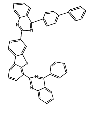 c1ccc(-c2ccc(-c3nc(-c4ccc5c(c4)sc4c(-c6nc(-c7ccccc7)c7ccccc7n6)cccc45)nc4ccccc34)cc2)cc1